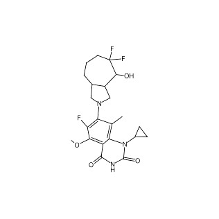 COc1c(F)c(N2CC3CCCC(F)(F)C(O)C3C2)c(C)c2c1c(=O)[nH]c(=O)n2C1CC1